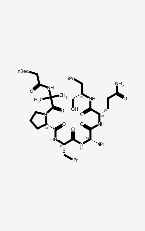 CCCCCCCCCCCC(=O)NC(C)(C)C(=O)N1CCC[C@H]1C(=O)N[C@@H](CC(C)C)C(=O)N[C@H](C(=O)N[C@@H](CCC(N)=O)C(=O)N[C@H](CO)CC(C)C)C(C)C